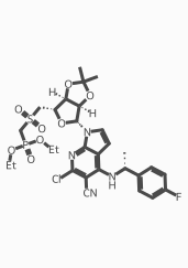 CCOP(=O)(CS(=O)(=O)C[C@H]1O[C@@H](n2ccc3c(N[C@H](C)c4ccc(F)cc4)c(C#N)c(Cl)nc32)[C@@H]2OC(C)(C)O[C@@H]21)OCC